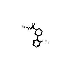 Cc1cnccc1C1CCCN(C(=O)OC(C)(C)C)C1